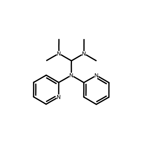 CN(C)C(N(C)C)N(c1ccccn1)c1ccccn1